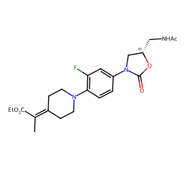 CCOC(=O)C(C)=C1CCN(c2ccc(N3C[C@H](CNC(C)=O)OC3=O)cc2F)CC1